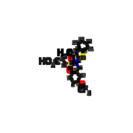 Cc1c(N(Cc2cccc(OC(F)(F)F)c2)S(=O)(=O)CCC(=O)O)sc2ccccc12